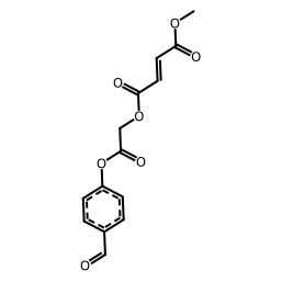 COC(=O)C=CC(=O)OCC(=O)Oc1ccc(C=O)cc1